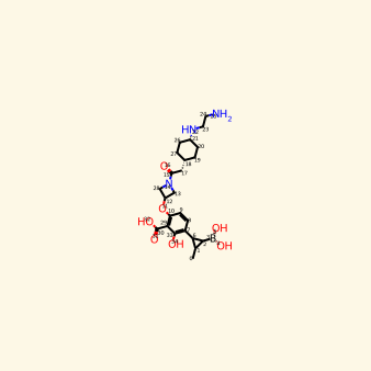 CC1C(B(O)O)C1c1ccc(OC2CN(C(=O)C[C@H]3CC[C@@H](NCCN)CC3)C2)c(C(=O)O)c1O